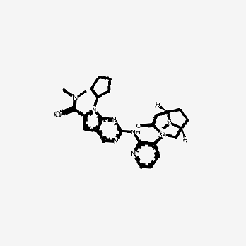 CN(C)C(=O)c1cc2cnc(Nc3ncccc3N3C[C@H]4CC[C@@H](CC3=O)N4C)nc2n1C1CCCC1